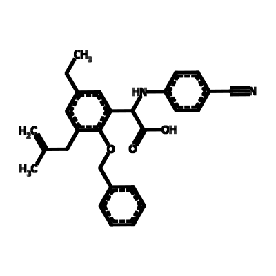 C=C(C)Cc1cc(CC)cc(C(Nc2ccc(C#N)cc2)C(=O)O)c1OCc1ccccc1